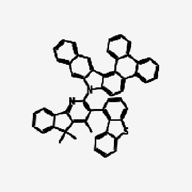 Cc1c(-c2cccc3sc4ccccc4c23)c(-n2c3cc4ccccc4cc3c3c4c5ccccc5c5ccccc5c4ccc32)nc2c1C(C)(C)c1ccccc1-2